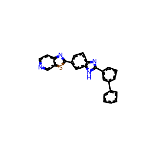 c1ccc(-c2cccc(-c3nc4ccc(-c5nc6ccncc6s5)cc4[nH]3)c2)cc1